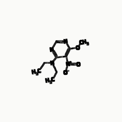 CCN(CC)c1ncnc(OC)c1[N+](=O)[O-]